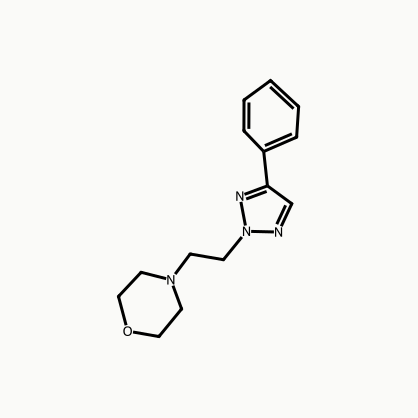 c1ccc(-c2cnn(CCN3CCOCC3)n2)cc1